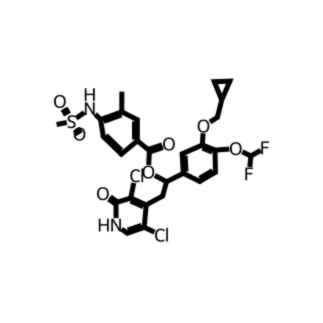 Cc1cc(C(=O)OC(Cc2c(Cl)c[nH]c(=O)c2Cl)c2ccc(OC(F)F)c(OCC3CC3)c2)ccc1NS(C)(=O)=O